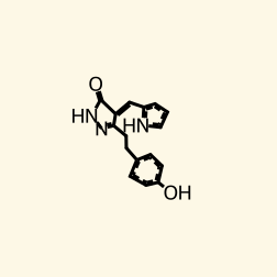 O=C1NN=C(CCc2ccc(O)cc2)C1=Cc1ccc[nH]1